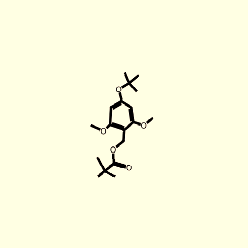 COc1cc(OC(C)(C)C)cc(OC)c1COC(=O)C(C)(C)C